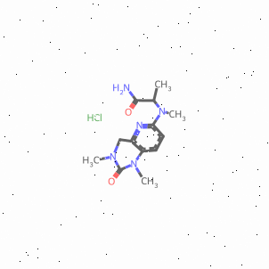 CC(C(N)=O)N(C)c1ccc2c(n1)CN(C)C(=O)N2C.Cl